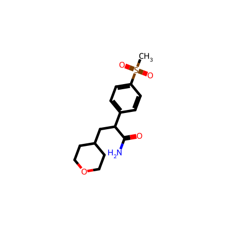 CS(=O)(=O)c1ccc(C(CC2CCOCC2)C(N)=O)cc1